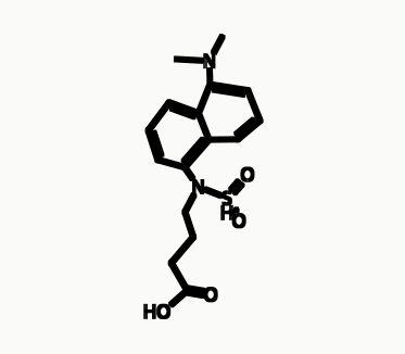 CN(C)c1cccc2c(N(CCCC(=O)O)[SH](=O)=O)cccc12